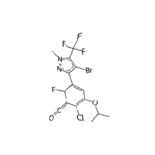 CC(C)OC1=C(Cl)C(=C=O)C(F)C(c2nn(C)c(C(F)(F)F)c2Br)=C1